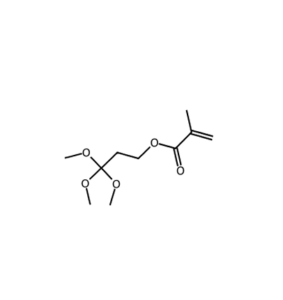 C=C(C)C(=O)OCCC(OC)(OC)OC